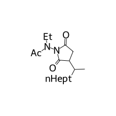 CCCCCCCC(C)C1CC(=O)N(N(CC)C(C)=O)C1=O